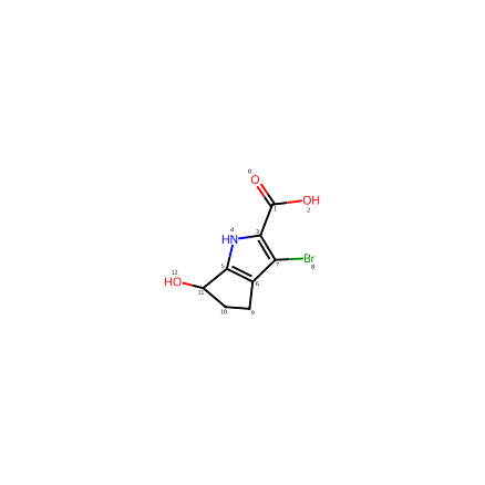 O=C(O)c1[nH]c2c(c1Br)CCC2O